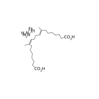 CC(=CCCC=C(C)CCCCCCC(=O)O)CCCCCCC(=O)O.CCN.CCN